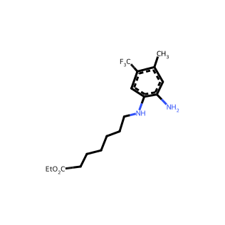 CCOC(=O)CCCCCCNc1cc(C(F)(F)F)c(C)cc1N